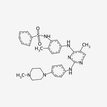 Cc1ccc(Nc2nc(Nc3ccc(N4CCN(C)CC4)cc3)ncc2C)cc1NS(=O)(=O)c1ccccc1